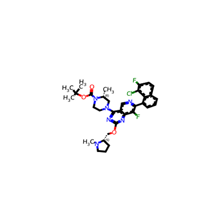 C[C@@H]1CN(c2nc(OC[C@@H]3CCCN3C)nc3c(F)c(-c4cccc5ccc(F)c(Cl)c45)ncc23)CCN1C(=O)OC(C)(C)C